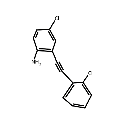 Nc1ccc(Cl)cc1C#Cc1ccccc1Cl